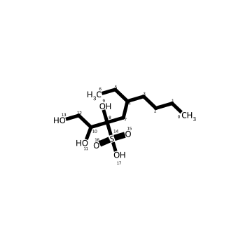 CCCCC(CC)CC(O)(C(O)CO)S(=O)(=O)O